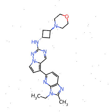 CCn1c(C)nc2ccc(-c3ccn4nc(N[C@H]5C[C@H](N6CCOCC6)C5)ncc34)nc21